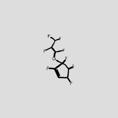 FC1=CC(F)C(F)C1(F)OC(F)C(F)C(F)F